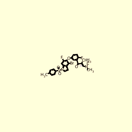 C/C(=C\N(C)C)C(=O)c1cc(Oc2c(F)cc3c(ccn3S(=O)(=O)c3ccc(C)cc3)c2Br)ccc1F